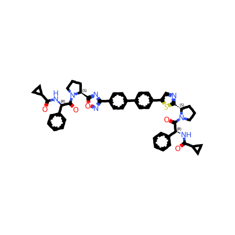 O=C(N[C@@H](C(=O)N1CCC[C@H]1c1nc(-c2ccc(-c3ccc(-c4cnc([C@@H]5CCCN5C(=O)[C@H](NC(=O)C5CC5)c5ccccc5)s4)cc3)cc2)no1)c1ccccc1)C1CC1